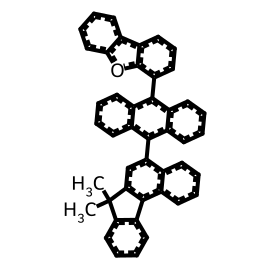 CC1(C)c2ccccc2-c2c1cc(-c1c3ccccc3c(-c3cccc4c3oc3ccccc34)c3ccccc13)c1ccccc21